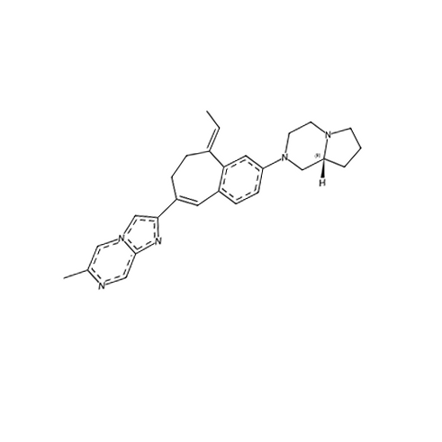 CC=C1CCC(c2cn3cc(C)ncc3n2)=Cc2ccc(N3CCN4CCC[C@@H]4C3)cc21